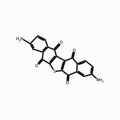 Nc1ccc2c(=O)c3c(sc4c(=O)c5cc(N)ccc5c(=O)c43)c(=O)c2c1